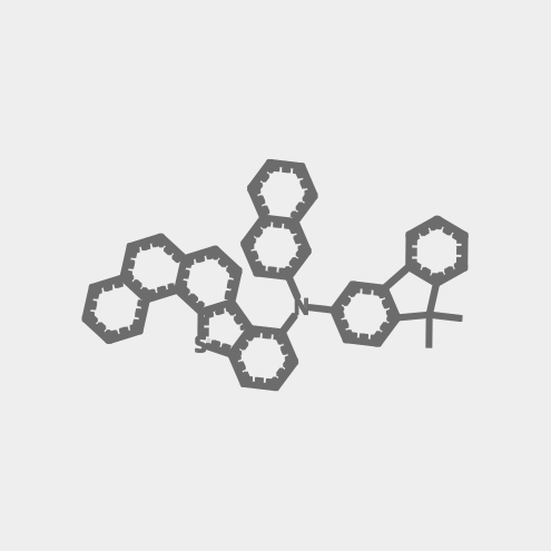 CC1(C)c2ccccc2-c2cc(N(c3ccc4ccccc4c3)c3cccc4sc5c(ccc6ccc7ccccc7c65)c34)ccc21